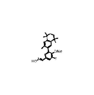 COc1c(F)cc(C=NO)cc1-c1cc2c(cc1C)C(C)(C)CCC2(C)C